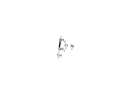 B[SiH3].[Cr].[Cu].[Ni]